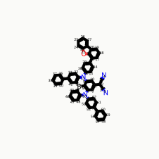 N#CC(C#N)c1cc2c3c(c1)N(c1ccc(-c4cccc5c4oc4ccccc45)cc1)c1ccc(-c4ccccc4)cc1B3c1ccccc1N2c1ccc(-c2ccccc2)cc1